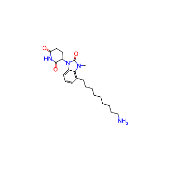 Cn1c(=O)n(C2CCC(=O)NC2=O)c2cccc(CCCCCCCCCN)c21